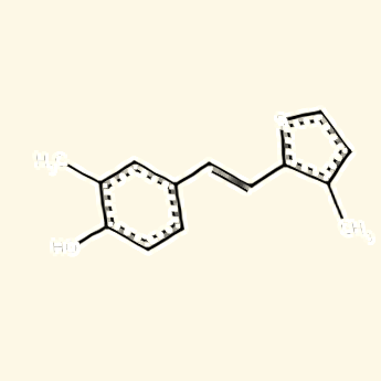 Cc1cc(C=Cc2sccc2C)ccc1O